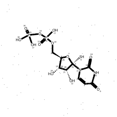 O=c1ccn([C@]2(S)O[C@H](COP(=O)(O)OP(=O)(O)O)[C@@H](O)[C@H]2O)c(=O)[nH]1